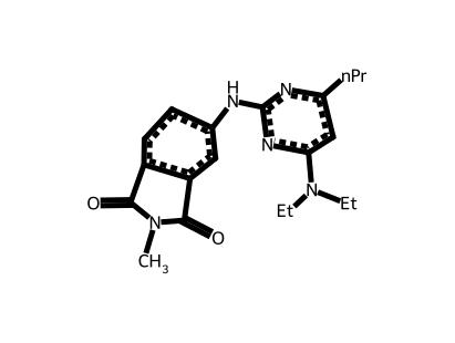 CCCc1cc(N(CC)CC)nc(Nc2ccc3c(c2)C(=O)N(C)C3=O)n1